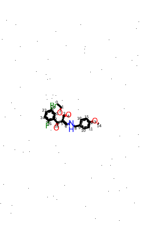 CCOC(=O)C(=CNCc1ccc(OC)cc1)C(=O)c1cc(Br)ccc1F